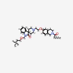 CNC(=O)N1CCc2cc(OCCN3CCC4(CC3)C(=O)N(COCC[Si](C)(C)C)c3ccccc34)ccc2C1